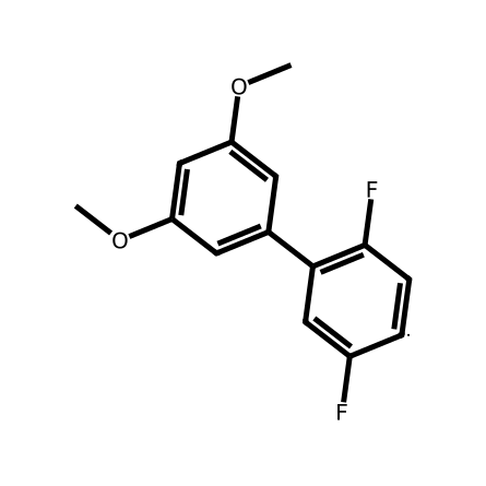 COc1cc(OC)cc(-c2cc(F)[c]cc2F)c1